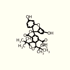 CC(C)(C)C(=O)c1c(C(=O)O)cc2c(c1C(=O)C(C)(C)C)C(=O)OC21c2ccc(O)cc2Oc2cc(O)ccc21